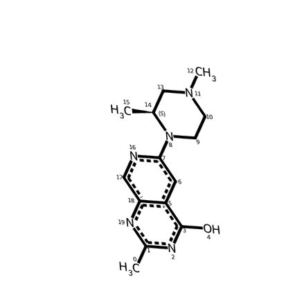 Cc1nc(O)c2cc(N3CCN(C)C[C@@H]3C)ncc2n1